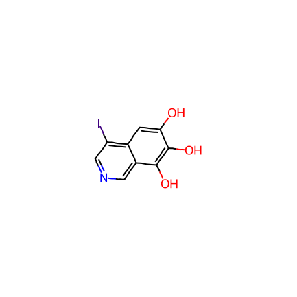 Oc1cc2c(I)cncc2c(O)c1O